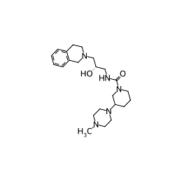 CN1CCN(C2CCCN(C(=O)NC[C@H](O)CN3CCc4ccccc4C3)C2)CC1